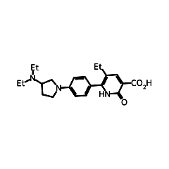 CCc1cc(C(=O)O)c(=O)[nH]c1-c1ccc(N2CCC(N(CC)CC)C2)cc1